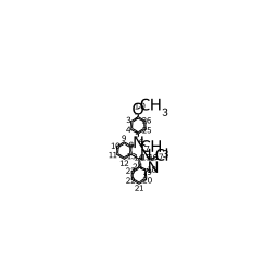 COc1ccc(N(C)c2ccccc2-c2nc(Cl)nc3ccccc23)cc1